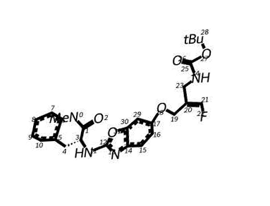 CNC(=O)[C@@H](Cc1ccccc1)Nc1nc2ccc(OC/C(=C\F)CNC(=O)OC(C)(C)C)cc2o1